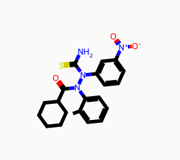 Cc1ccccc1N(C(=O)C1CCCCC1)N(C(N)=S)c1cccc([N+](=O)[O-])c1